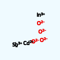 [Cd+2].[In+3].[O-2].[O-2].[O-2].[O-2].[Sb+3]